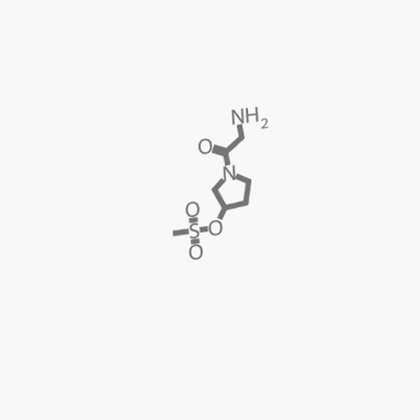 CS(=O)(=O)OC1CCN(C(=O)CN)C1